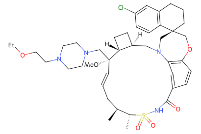 CCOCCN1CCN(C[C@]2(OC)/C=C/C[C@H](C)[C@@H](C)S(=O)(=O)NC(=O)c3ccc4c(c3)N(C[C@@H]3CC[C@H]32)C[C@@]2(CCCc3cc(Cl)ccc32)CO4)CC1